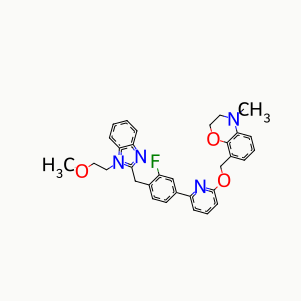 COCCn1c(Cc2ccc(-c3cccc(OCc4cccc5c4OCCN5C)n3)cc2F)nc2ccccc21